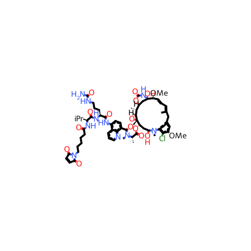 COc1cc2cc(c1Cl)N(C)C(O)C[C@H](OC(=O)[C@H](C)N(C)C(=O)c1ccc(NC(=O)[C@H](CCCNC(N)=O)NC(=O)[C@@H](NC(=O)CCCCCN3C(=O)C=CC3=O)C(C)C)c3cccnc13)[C@]1(C)O[C@H]1[C@H](C)[C@@H]1C[C@@](O)(NC(=O)O1)[C@H](OC)/C=C/C=C(\C)C2